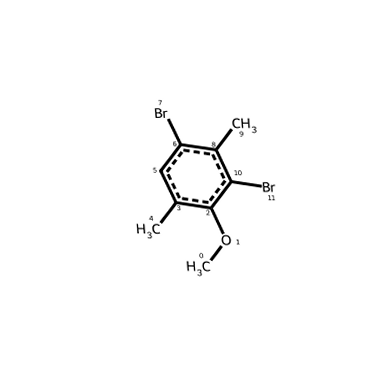 COc1c(C)cc(Br)c(C)c1Br